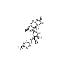 CN1CCN(CCn2c(=O)[nH]c3cc(C=C4c5ccc(F)cc5CCc5cc(F)ccc54)ccc32)CC1